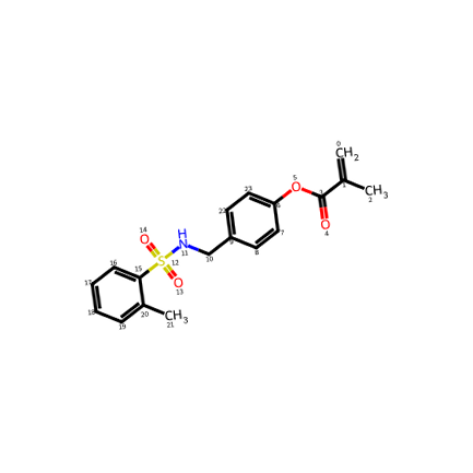 C=C(C)C(=O)Oc1ccc(CNS(=O)(=O)c2ccccc2C)cc1